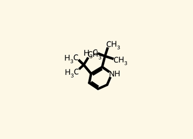 CC(C)(C)C1=C(C(C)(C)C)NCC=C1